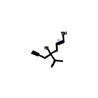 C#CCC(S)(C/C=C/O)C(C)C